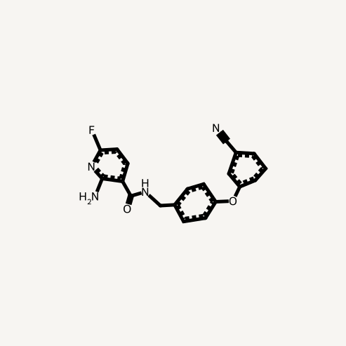 N#Cc1cccc(Oc2ccc(CNC(=O)c3ccc(F)nc3N)cc2)c1